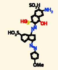 COc1ccc(N=Nc2ccc(N=Nc3c(SO)cc4cc(S(=O)(=O)O)c(N)cc4c3O)c3cc(S(=O)(=O)O)ccc23)cc1